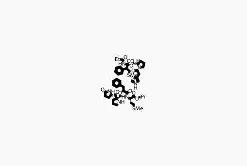 CCC(=O)NC(OC[C@@H]1CCCN1C(=O)Cc1c[nH]cn1)(C(=O)O)C(CSC)c1ccccc1.CSCC[C@H](NC(=O)C(Cc1ccccc1)OC[C@]1(C(=O)[C@@H]2CCC(=O)N2)CCCN1)C(=O)OC(C)C